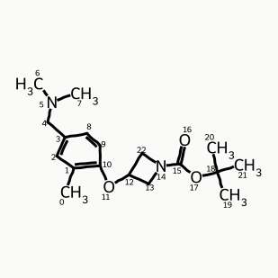 Cc1cc(CN(C)C)ccc1OC1CN(C(=O)OC(C)(C)C)C1